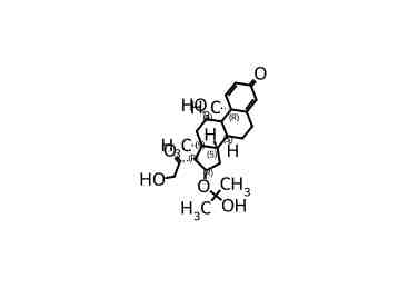 CC(C)(O)O[C@@H]1C[C@H]2[C@@H]3CCC4=CC(=O)C=C[C@]4(C)C3[C@@H](O)C[C@]2(C)[C@H]1C(=O)CO